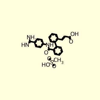 CS(=O)(=O)O.N=C(N)c1ccc(NC(=O)c2ccccc2-c2ccccc2C=CC(=O)O)cc1